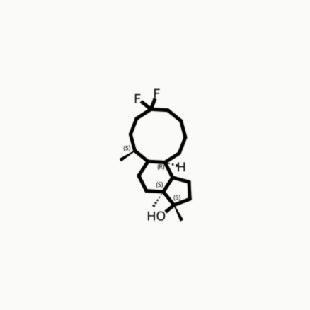 C[C@H]1CCC(F)(F)CCCC[C@@H]2C1CC[C@@]1(C)C2CC[C@]1(C)O